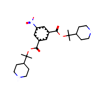 CC(C)(OC(=O)c1cc(C(=O)OC(C)(C)C2CCNCC2)cc([N+](=O)[O-])c1)C1CCNCC1